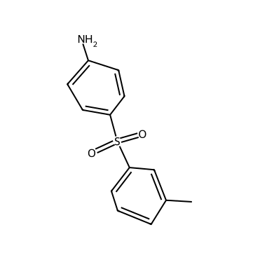 Cc1cccc(S(=O)(=O)c2ccc(N)cc2)c1